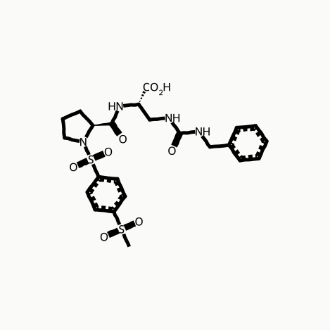 CS(=O)(=O)c1ccc(S(=O)(=O)N2CCC[C@H]2C(=O)N[C@@H](CNC(=O)NCc2ccccc2)C(=O)O)cc1